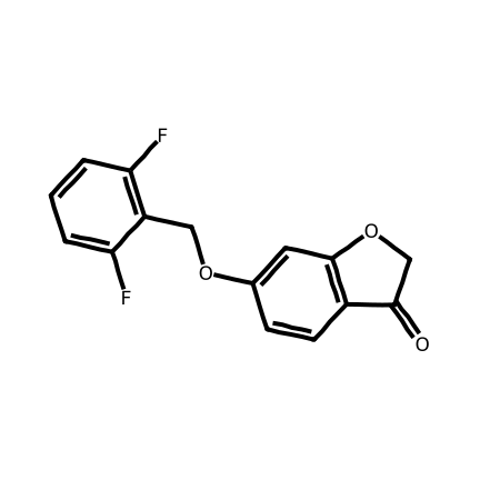 O=C1COc2cc(OCc3c(F)cccc3F)ccc21